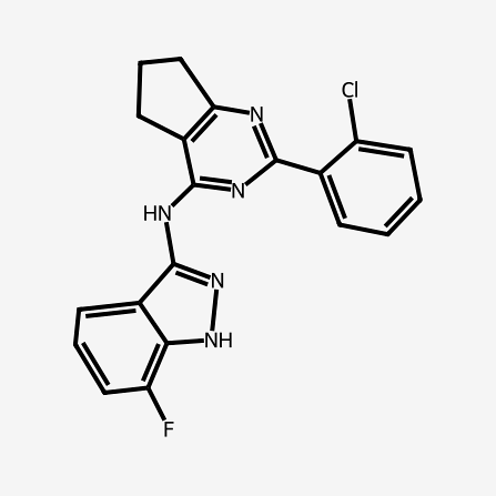 Fc1cccc2c(Nc3nc(-c4ccccc4Cl)nc4c3CCC4)n[nH]c12